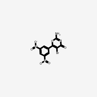 Nc1nc(=O)c(Br)c(-c2cc([N+](=O)[O-])cc([N+](=O)[O-])c2)o1